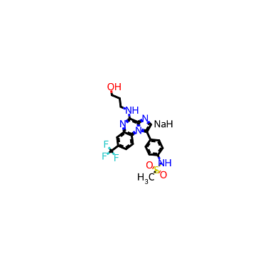 CS(=O)(=O)Nc1ccc(-c2cnc3c(NCCCO)nc4cc(C(F)(F)F)ccc4n23)cc1.[NaH]